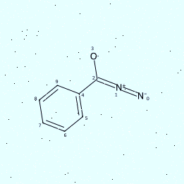 [N-]=[N+]=C([O])c1ccccc1